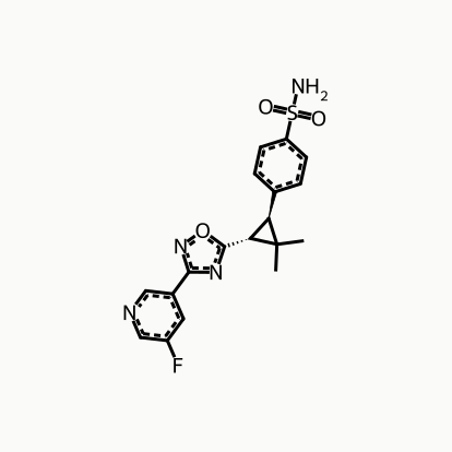 CC1(C)[C@H](c2ccc(S(N)(=O)=O)cc2)[C@H]1c1nc(-c2cncc(F)c2)no1